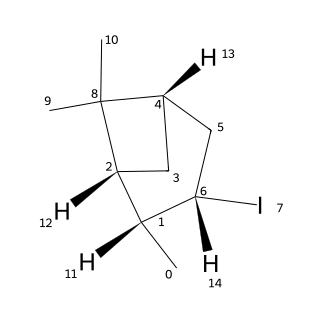 C[C@@H]1[C@H]2C[C@@H](C[C@@H]1I)C2(C)C